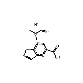 CN(C)C=O.O=C(O)c1ccc2c(n1)C=NC2.[H+]